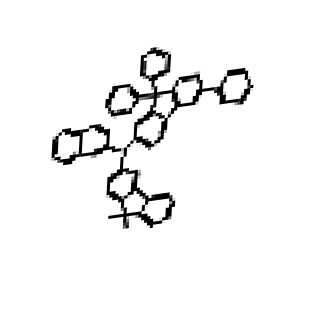 CC1(C)c2ccccc2-c2cc(N(c3ccc4c(c3)C(c3ccccc3)(c3ccccc3)c3ccc(-c5ccccc5)cc3-4)c3ccc4ccccc4c3)ccc21